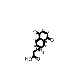 NCC(=O)O.O=C1C=CC(=O)c2ccccc21